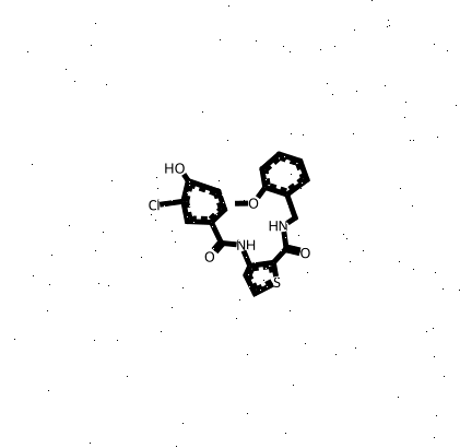 COc1ccccc1CNC(=O)c1sccc1NC(=O)c1ccc(O)c(Cl)c1